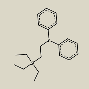 CC[Si](CC)(CC)CCP(c1ccccc1)c1ccccc1